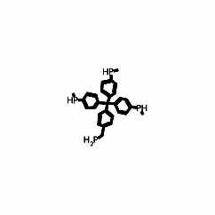 CPc1ccc(C(c2ccc(CP)cc2)(c2ccc(PC)cc2)c2ccc(PC)cc2)cc1